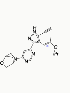 C#Cc1[nH]nc(-c2cc(N3CC4CC3CO4)ncn2)c1/C=C(\C)OC(C)C